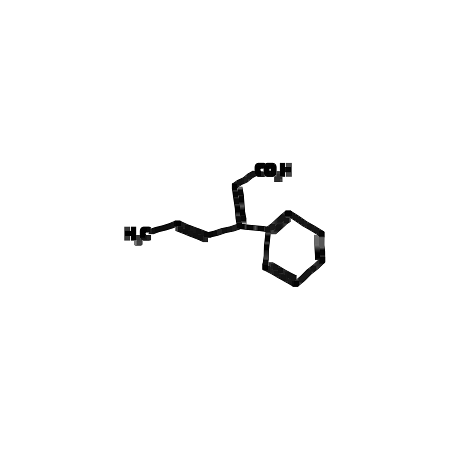 C/C=C/C(=C/C(=O)O)c1ccccc1